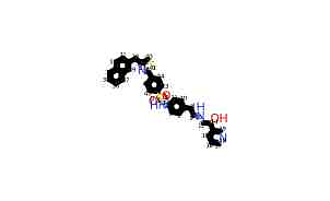 O=S(=O)(Nc1ccc(CCNCC(O)c2cccnc2)cc1)c1ccc(-c2nc(Cc3ccc4ccccc4c3)cs2)cc1